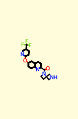 O=C(c1ccc2cc(Oc3ccc(C(F)(F)F)cn3)ccc2n1)N1CCC12CNC2